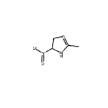 CC1=NCC([N+](=O)[O-])N1